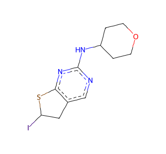 IC1Cc2cnc(NC3CCOCC3)nc2S1